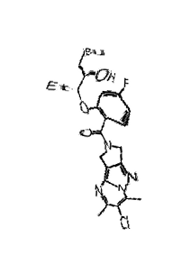 CCC(C)C[C@@H](O)[C@@H](CC)Oc1cc(F)ccc1C(=O)N1Cc2nn3c(C)c(Cl)c(C)nc3c2C1